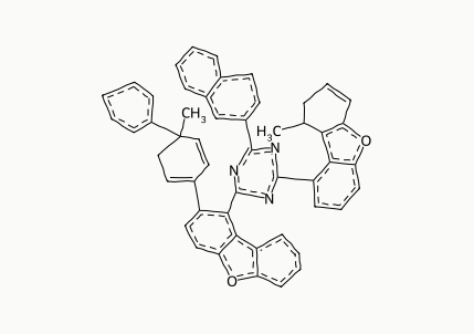 CC1CC=Cc2oc3cccc(-c4nc(-c5ccc6ccccc6c5)nc(-c5c(C6=CCC(C)(c7ccccc7)C=C6)ccc6oc7ccccc7c56)n4)c3c21